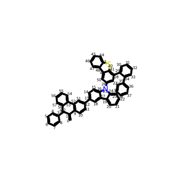 C=C(Cc1ccccc1)c1ccc(-c2ccc3c(c2)c2ccccc2n3-c2cc(-c3ccccc3-c3ccccc3)c3sc4ccccc4c3c2)cc1-c1ccccc1C